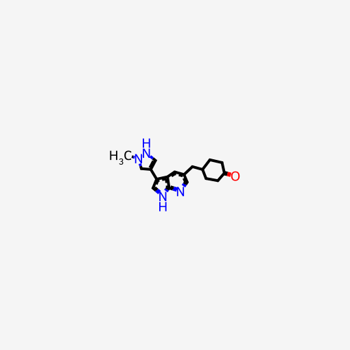 CN1CC(c2c[nH]c3ncc(CC4CCC(=O)CC4)cc23)=CN1